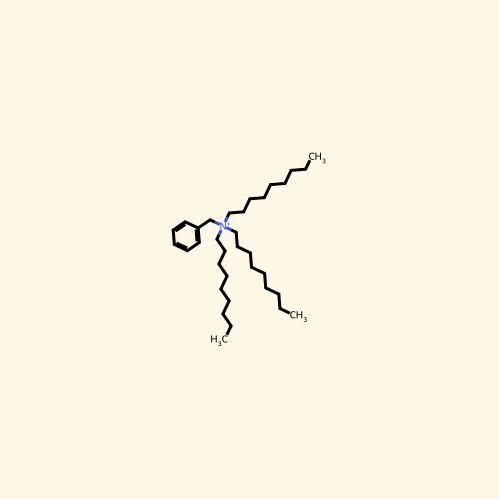 CCCCCCCCC[N+](CCCCCCCCC)(CCCCCCCCC)Cc1ccccc1